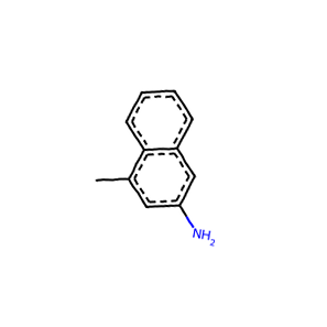 Cc1cc(N)cc2ccccc12